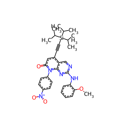 COc1ccccc1Nc1ncc2c(C#C[Si](C(C)C)(C(C)C)C(C)C)cc(=O)n(-c3ccc([N+](=O)[O-])cc3)c2n1